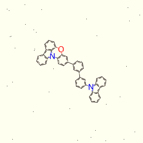 c1cc(-c2cccc(-n3c4ccccc4c4ccccc43)c2)cc(-c2ccc3c(c2)Oc2cccc4c5ccccc5n-3c24)c1